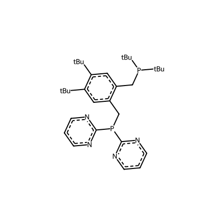 CC(C)(C)c1cc(CP(c2ncccn2)c2ncccn2)c(CP(C(C)(C)C)C(C)(C)C)cc1C(C)(C)C